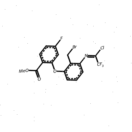 COC(=O)c1ccc(F)cc1Oc1cccc(/N=C(/Cl)C(F)(F)F)c1CBr